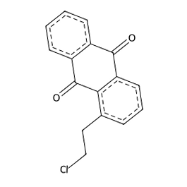 O=C1c2ccccc2C(=O)c2c(CCCl)cccc21